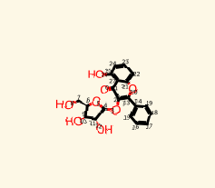 O=c1c(O[C@@H]2O[C@H](CO)[C@@H](O)[C@H]2O)c(-c2ccccc2)oc2cccc(O)c12